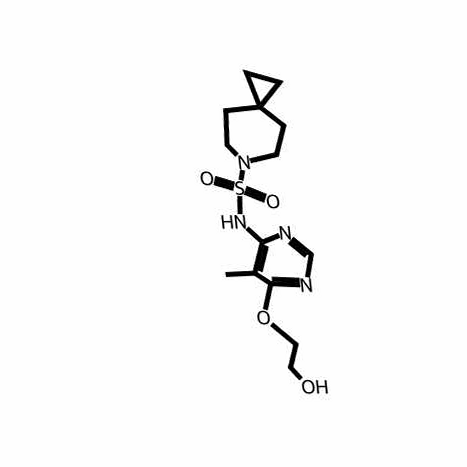 Cc1c(NS(=O)(=O)N2CCC3(CC2)CC3)ncnc1OCCO